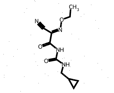 CCON=C(C#N)C(=O)NC(=O)NCC1CC1